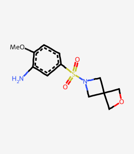 COc1ccc(S(=O)(=O)N2CC3(COC3)C2)cc1N